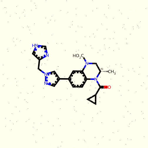 C[C@H]1CN(C(=O)O)c2cc(-c3cnn(Cc4c[nH]cn4)c3)ccc2N1C(=O)C1CC1